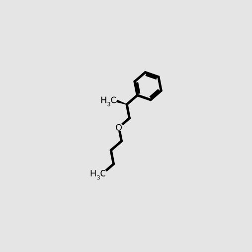 CCCCOC[C@@H](C)c1ccccc1